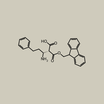 NC(CCc1ccccc1)[C@H](C(=O)O)C(=O)OCC1c2ccccc2-c2ccccc21